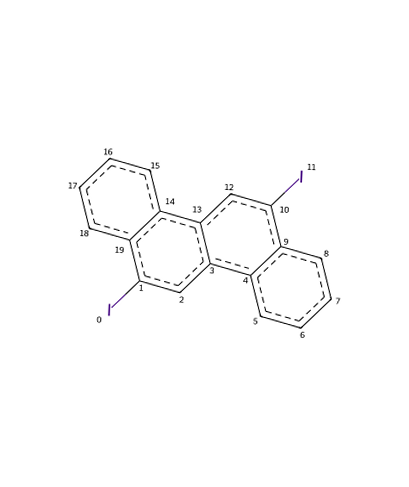 Ic1cc2c3ccccc3c(I)cc2c2ccccc12